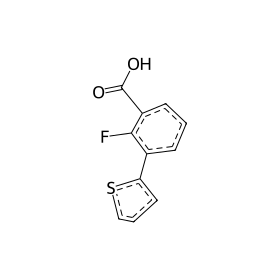 O=C(O)c1cccc(-c2cccs2)c1F